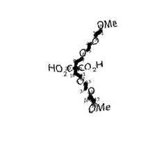 COCCOCCOCCC(CCOCCOCCOC)(C(=O)O)C(=O)O